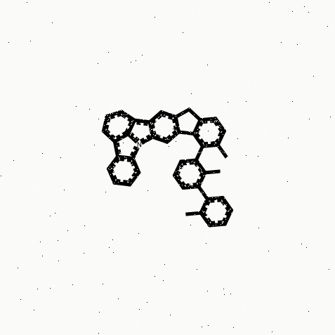 Cc1ccccc1-c1cccc(-c2c(C)ccc3c2-c2cc4c(cc2C3)c2cccc3c5ccccc5n4c32)c1C